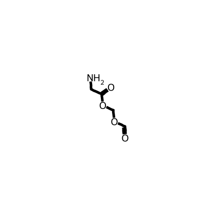 NCC(=O)OCOC=O